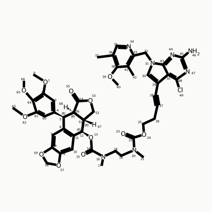 COc1cc([C@@H]2c3cc4c(cc3[C@H](OC(=O)N(C)CCN(C)C(=O)OCCC#Cc3cn(Cc5ncc(C)c(OC)c5C)c5nc(N)nc(Cl)c35)[C@H]3COC(=O)[C@H]23)OCO4)cc(OC)c1OC